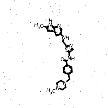 Cc1cc2cc(NCc3ncc(NC(=O)c4ccc(CN5CCN(C)CC5)cc4)s3)cnc2[nH]1